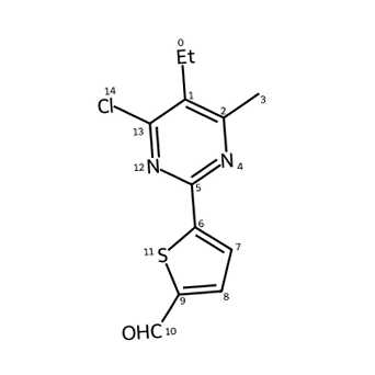 CCc1c(C)nc(-c2ccc(C=O)s2)nc1Cl